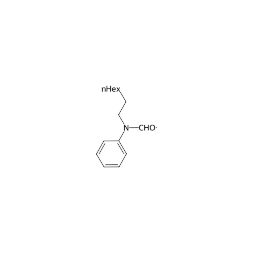 CCCCCCCCN([C]=O)c1ccccc1